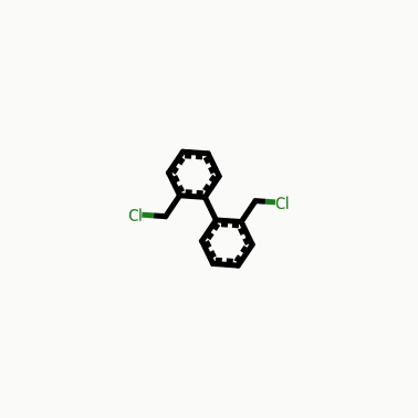 ClCc1ccccc1-c1ccccc1CCl